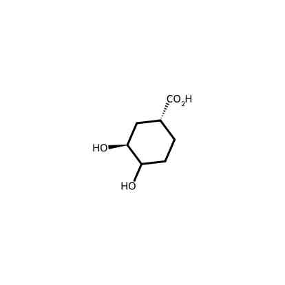 O=C(O)[C@@H]1CCC(O)[C@@H](O)C1